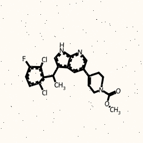 COC(=O)N1CC=C(c2cnc3[nH]cc(C(C)c4c(Cl)ccc(F)c4Cl)c3c2)CC1